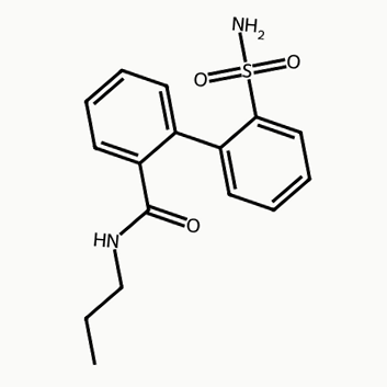 CCCNC(=O)c1ccccc1-c1ccccc1S(N)(=O)=O